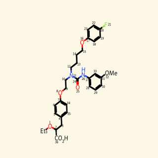 CCOC(Cc1ccc(OCCN(CCCCOc2ccc(F)cc2)C(=O)Nc2cccc(OC)c2)cc1)C(=O)O